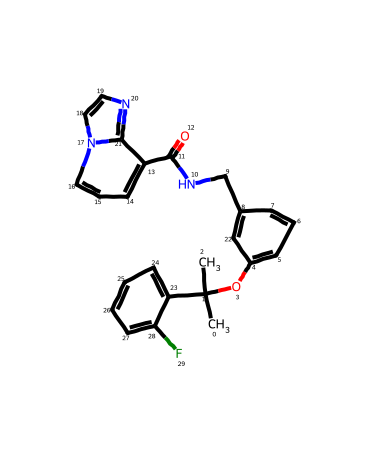 CC(C)(Oc1cccc(CNC(=O)c2cccn3ccnc23)c1)c1ccccc1F